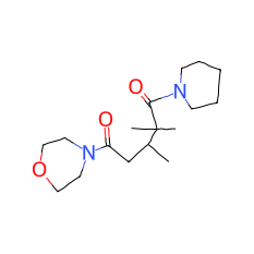 CC(CC(=O)N1CCOCC1)C(C)(C)C(=O)N1CCCCC1